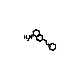 N[C@@H]1CCCc2cc(CCN3CCCCC3)ccc21